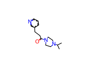 CC(C)N1CCN(C(=O)CCc2cccnc2)CC1